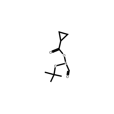 CC(C)(C)ON(C=O)OC(=O)C1CC1